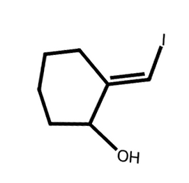 OC1CCCC/C1=C\I